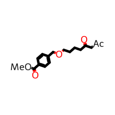 COC(=O)c1ccc(COCCCCC(=O)CC(C)=O)cc1